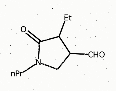 CCCN1CC(C=O)C(CC)C1=O